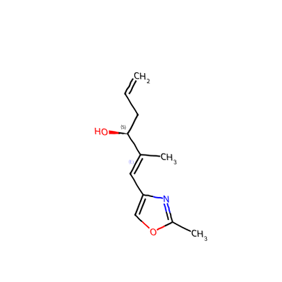 C=CC[C@H](O)/C(C)=C/c1coc(C)n1